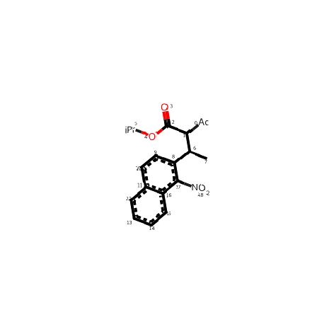 CC(=O)C(C(=O)OC(C)C)C(C)c1ccc2ccccc2c1[N+](=O)[O-]